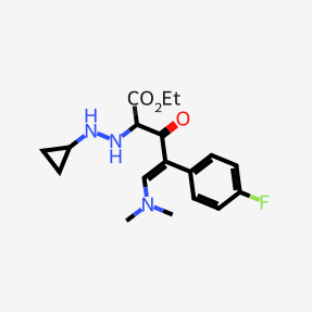 CCOC(=O)C(NNC1CC1)C(=O)/C(=C/N(C)C)c1ccc(F)cc1